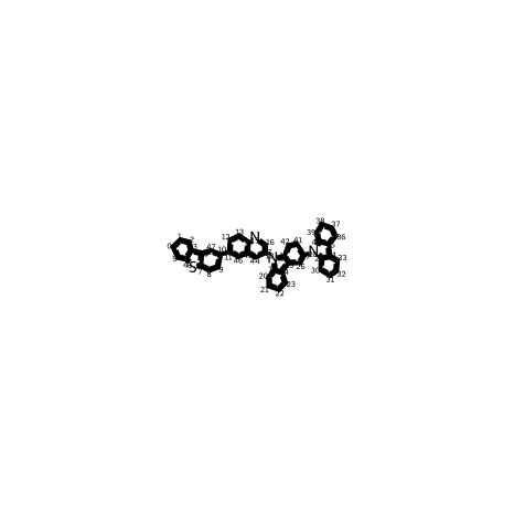 c1ccc2c(c1)sc1ccc(-c3ccc4ncc(-n5c6ccccc6c6cc(-n7c8ccccc8c8ccccc87)ccc65)cc4c3)cc12